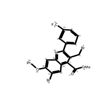 COC(=O)c1c(CBr)c(-c2cccc(C(F)(F)F)c2)nc2cc(OC(C)C)c(Br)cc12